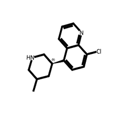 CC1CNC[C@@H](c2ccc(Cl)c3ncccc23)C1